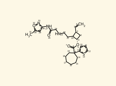 C=CC1C[C@H](OC(=O)C2(c3cccs3)CCCCCC2)C1CCNCC(=O)Nc1cc(C)on1